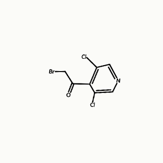 O=C(CBr)c1c(Cl)cncc1Cl